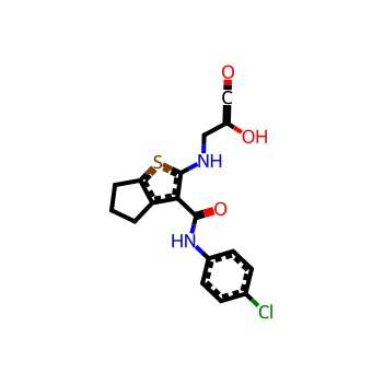 O=C=C(O)CNc1sc2c(c1C(=O)Nc1ccc(Cl)cc1)CCC2